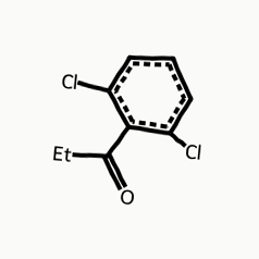 CCC(=O)c1c(Cl)cccc1Cl